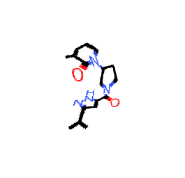 Cc1cccn(C2CCN(C(=O)c3cc(C(C)C)n[nH]3)C2)c1=O